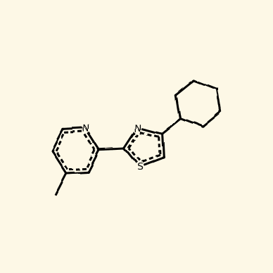 Cc1ccnc(-c2nc(C3CCCCC3)cs2)c1